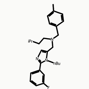 CCCCn1c(CN(CCC(C)C)Cc2ccc(C)cc2)cnc1-c1cccc(F)c1